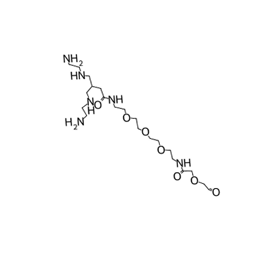 NCCNCC(CNCCN)CC(=O)NCCOCCOCCOCCNC(=O)COCC=O